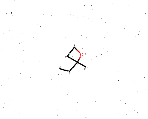 [CH2]C1(CC)CCO1